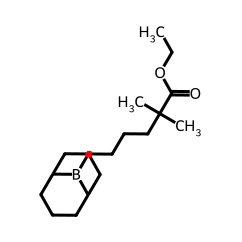 CCOC(=O)C(C)(C)CCCCB1C2CCCC1CCC2